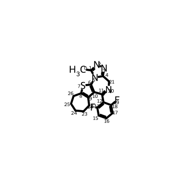 Cc1nnc2n1-c1sc3c(c1C(c1c(F)cccc1F)=NC2)CCCCC3